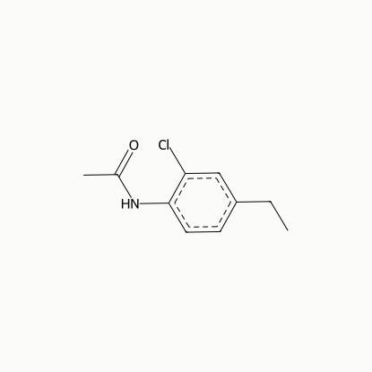 CCc1ccc(NC(C)=O)c(Cl)c1